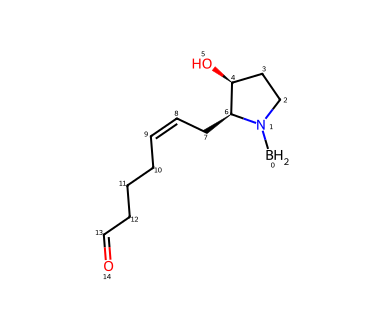 BN1CC[C@H](O)[C@@H]1C/C=C\CCCC=O